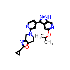 CC(C)Oc1cc2c(-c3ccnc(N4CCc5oc(C6CC6)nc5C4)c3)n[nH]c2cn1